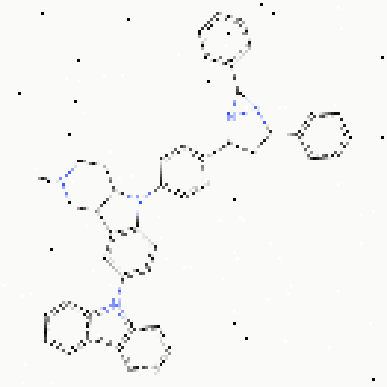 CN1CCC2C(C1)c1cc(-n3c4ccccc4c4ccccc43)ccc1N2c1ccc(C2CC(c3ccccc3)N3C(c4ccccc4)N23)cc1